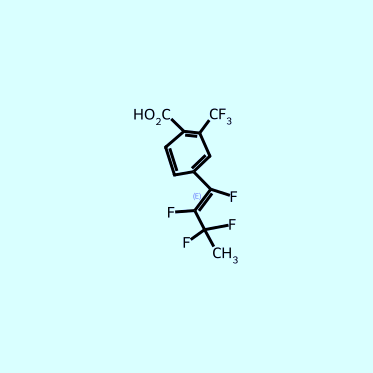 CC(F)(F)/C(F)=C(\F)c1ccc(C(=O)O)c(C(F)(F)F)c1